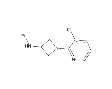 CC(C)NC1CN(c2ncccc2Cl)C1